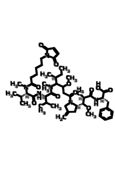 C=C1C[C@@H](C(OC)[C@@H](C)C(=O)N[C@@H](Cc2ccccc2)C(=O)O)N(C(=O)CC(OC)C([C@@H](C)CC)N(C)C(=O)[C@@H](NC(=O)[C@H](C(C)C)N(C)C(=O)CCCCCN2C(=O)C=CC2=O)C(C)C)C1